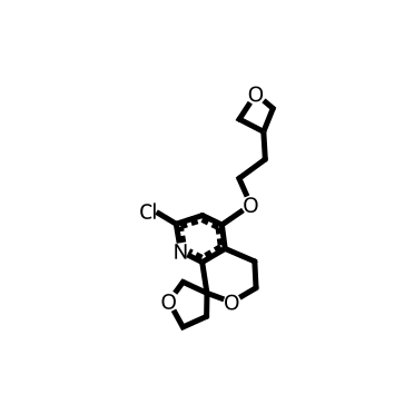 Clc1cc(OCCC2COC2)c2c(n1)C1(CCOC1)OCC2